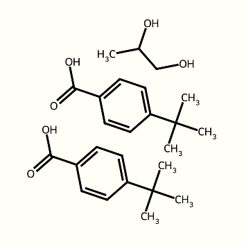 CC(C)(C)c1ccc(C(=O)O)cc1.CC(C)(C)c1ccc(C(=O)O)cc1.CC(O)CO